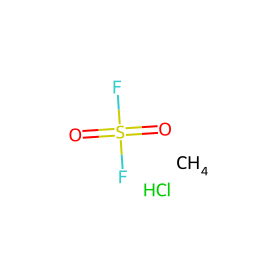 C.Cl.O=S(=O)(F)F